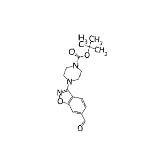 CC(C)(C)OC(=O)N1CCN(c2noc3cc(C=O)ccc23)CC1